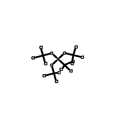 ClC(Cl)(Cl)O[Si](OC(Cl)(Cl)Cl)(OC(Cl)(Cl)Cl)C(Cl)(Cl)Cl